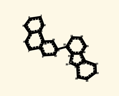 c1ccc2c(c1)ccc1ccc(-c3cccc4c3sc3ccccc34)cc12